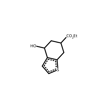 CCOC(=O)C1Cc2sccc2C(O)C1